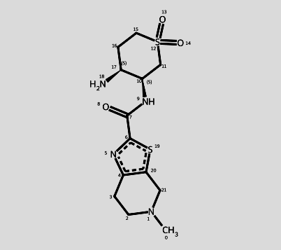 CN1CCc2nc(C(=O)N[C@@H]3CS(=O)(=O)CC[C@@H]3N)sc2C1